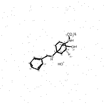 Cl.O=C(O)NC12CCC(NCc3ccccc3)(CC1)C[C@@H]2O